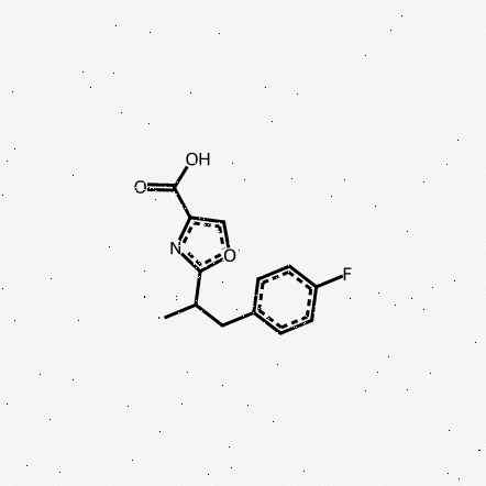 [CH2]C(Cc1ccc(F)cc1)c1nc(C(=O)O)co1